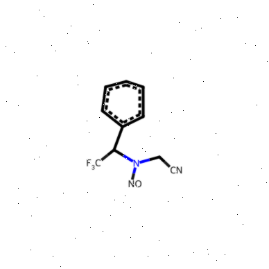 N#CCN(N=O)C(c1ccccc1)C(F)(F)F